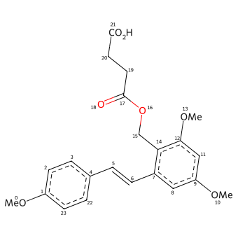 COc1ccc(C=Cc2cc(OC)cc(OC)c2COC(=O)CCC(=O)O)cc1